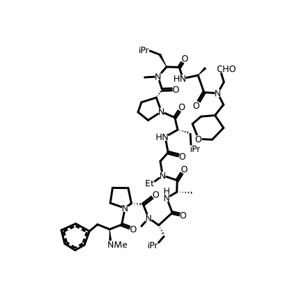 CCN(CC(=O)N[C@@H](CC(C)C)C(=O)N1CCC[C@@H]1C(=O)N(C)[C@@H](CC(C)C)C(=O)N[C@@H](C)C(=O)N(CC=O)CC1CCOCC1)C(=O)[C@H](C)NC(=O)[C@H](CC(C)C)N(C)C(=O)[C@H]1CCCN1C(=O)[C@H](Cc1ccccc1)NC